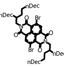 CCCCCCCCCCCCC(CCCCCCCCCC)CN1C(=O)c2cc(Br)c3c4c(cc(Br)c(c24)C1=O)C(=O)N(CC(CCCCCCCCCC)CCCCCCCCCCCC)C3=O